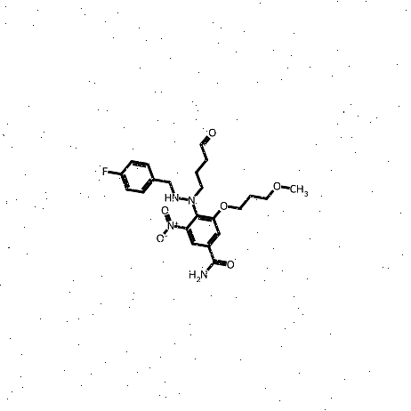 COCCCOc1cc(C(N)=O)cc([N+](=O)[O-])c1N(CCCC=O)NCc1ccc(F)cc1